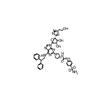 NS(=O)(=O)c1ccc(NC(=O)N[C@@H]2CCN(c3nc(NCC(c4ccccc4)c4ccccc4)c4ncn([C@@H]5O[C@H](c6nnn(CCO)n6)[C@@H](O)[C@@H]5O)c4n3)C2)cc1